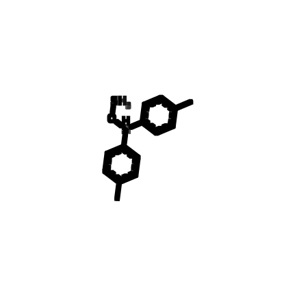 Cc1ccc([SiH](O[SiH3])c2ccc(C)cc2)cc1